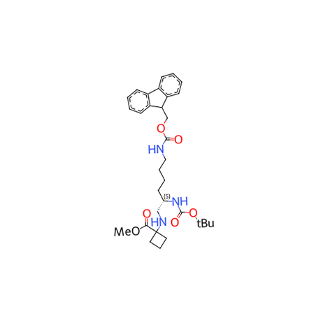 COC(=O)C1(NC[C@H](CCCCNC(=O)OCC2c3ccccc3-c3ccccc32)NC(=O)OC(C)(C)C)CCC1